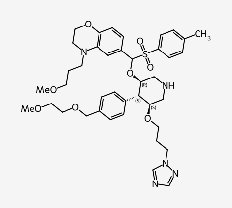 COCCCN1CCOc2ccc(C(O[C@H]3CNC[C@@H](OCCCn4cncn4)[C@@H]3c3ccc(COCCOC)cc3)S(=O)(=O)c3ccc(C)cc3)cc21